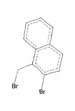 BrCc1c(Br)ccc2ccccc12